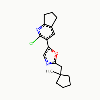 CC1(Cc2ncc(-c3cc4c(nc3Cl)CCC4)o2)CCCC1